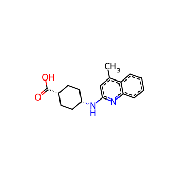 Cc1cc(N[C@H]2CC[C@@H](C(=O)O)CC2)nc2ccccc12